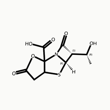 C[C@@H](O)[C@H]1C(=O)N2[C@@H]1SC1CC(=O)OC12C(=O)O